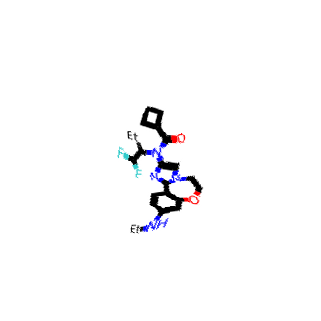 CCNc1ccc2c(c1)OCCn1cc(N(C(=O)C3CCC3)C(CC)C(F)F)nc1-2